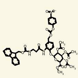 COC(=O)[C@H]1O[C@@H](Oc2ccc(COC(=O)Oc3ccc([N+](=O)[O-])cc3)cc2NC(=O)CCNC(=O)OCC2c3ccccc3-c3ccccc32)[C@@H](OC(C)=O)[C@@H](OC(C)=O)[C@@H]1OC(C)=O